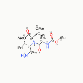 C=C(N)[C@H](CC(C)C)N(C(=O)[C@H](C)NC(=O)OC(C)(C)C)[C@@H](C(=O)OC)C(CCC)OC